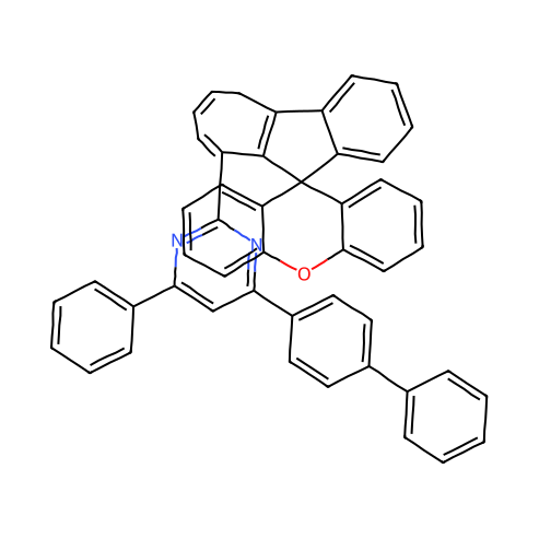 C1=CCC2=C(C(c3nc(-c4ccccc4)cc(-c4ccc(-c5ccccc5)cc4)n3)=C1)C1(c3ccccc3Oc3ccccc31)c1ccccc12